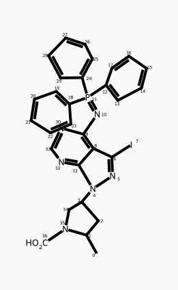 CC1CC(n2nc(I)c3c(N=P(c4ccccc4)(c4ccccc4)c4ccccc4)ncnc32)CN1C(=O)O